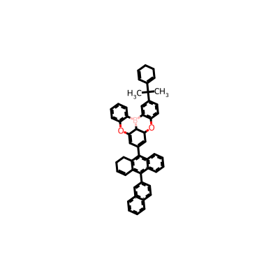 CC(C)(C1=CCCC=C1)c1ccc2c(c1)B1c3ccccc3OC3=CC(c4c5c(c(-c6ccc7ccccc7c6)c6ccccc46)C=CCC5)=CC(O2)C13